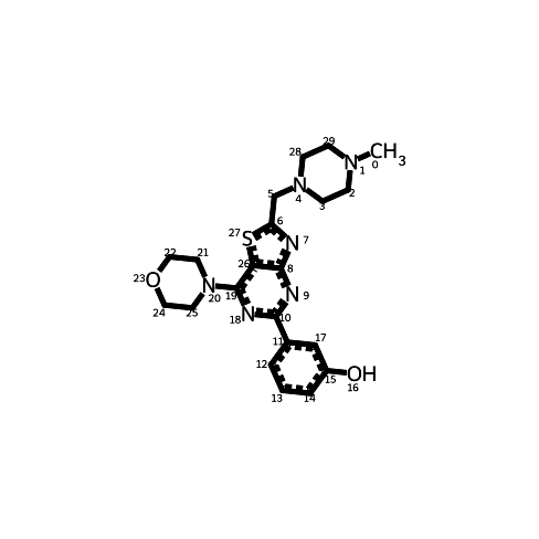 CN1CCN(Cc2nc3nc(-c4cccc(O)c4)nc(N4CCOCC4)c3s2)CC1